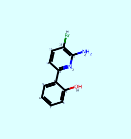 Nc1nc(-c2ccccc2O)ccc1Br